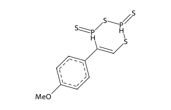 COc1ccc(C2=CS[PH](=S)S[PH]2=S)cc1